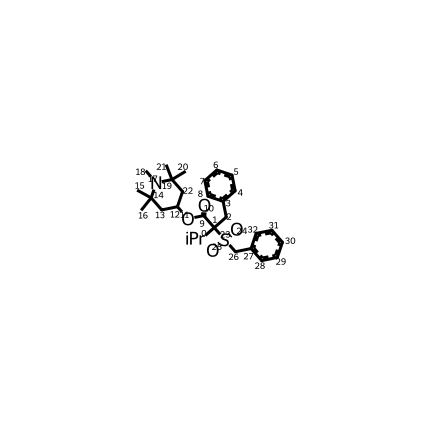 CC(C)C(Cc1ccccc1)(C(=O)OC1CC(C)(C)N(C)C(C)(C)C1)S(=O)(=O)Cc1ccccc1